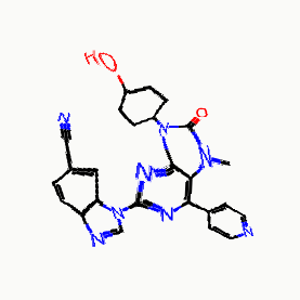 Cn1c(=O)n(C2CCC(O)CC2)c2nc(N3C=NC4C=CC(C#N)=CC43)nc(-c3ccncc3)c21